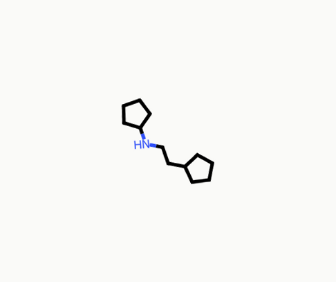 C1CCC(CCNC2CCCC2)C1